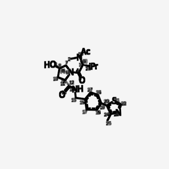 CC(=O)N(C)[C@H](C(=O)N1C[C@H](O)C[C@H]1C(=O)NCc1ccc(-c2scnc2C)cc1)C(C)C